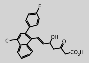 O=C(O)CC(=O)CC(O)/C=C/c1c(-c2ccc(F)cc2)cc(Cl)c2ccccc12